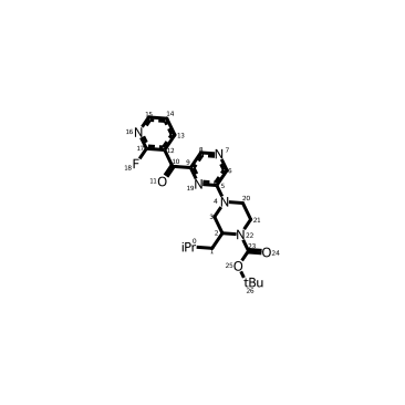 CC(C)CC1CN(c2cncc(C(=O)c3cccnc3F)n2)CCN1C(=O)OC(C)(C)C